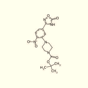 CC(C)(C)OC(=O)N1CCN(c2cc(-c3noc(=O)[nH]3)ccc2[N+](=O)[O-])CC1